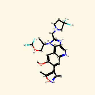 COc1cc2c(cc1-c1c(C)noc1C)ncc1nc(CN3CCC(F)(F)C3)n(C(C)COC(F)F)c12